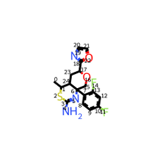 CC1SC(N)=NC2(c3ccc(F)cc3F)COC(c3ncco3)CC12